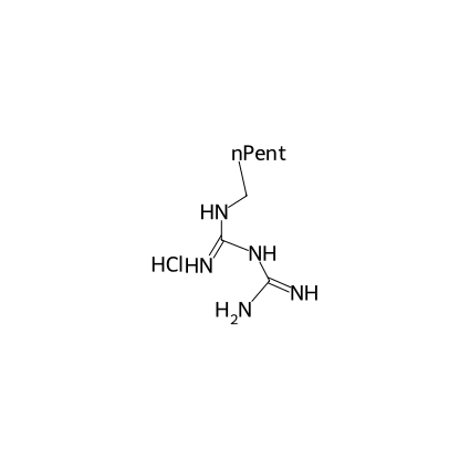 CCCCCCNC(=N)NC(=N)N.Cl